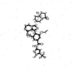 CCOc1cc(C(=O)Nc2cc(C(F)(F)F)n(C)n2)cc(Cl)c1-c1nc([C@@H]2CC[C@H]3CCC(=O)N3C2)n2ccnc(N)c12